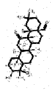 CC1(C)CC[C@]2(C=O)CC[C@]3(C)[C@H](C(=O)C[C@@H]4[C@@]5(C)CC[C@H](O)C(C)(C)[C@@H]5CC[C@]43C)[C@@H]2C1